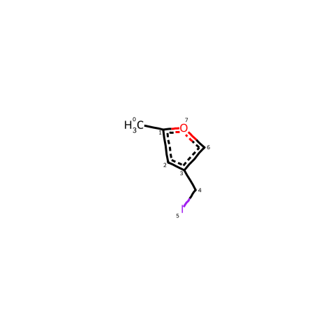 Cc1cc(CI)co1